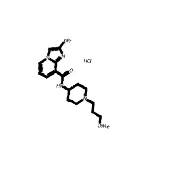 CCCc1cn2cccc(C(=O)NC3CCN(CCCOC)CC3)c2n1.Cl